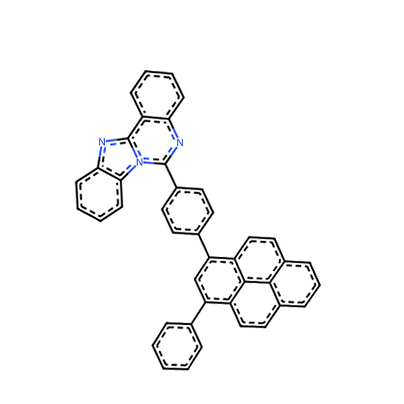 c1ccc(-c2cc(-c3ccc(-c4nc5ccccc5c5nc6ccccc6n45)cc3)c3ccc4cccc5ccc2c3c54)cc1